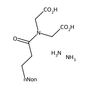 CCCCCCCCCCCC(=O)N(CC(=O)O)CC(=O)O.N.N